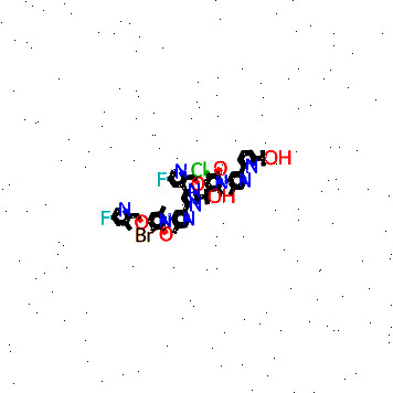 Cc1cnc(-c2cccc(C(C)(C)O)n2)cc1-n1c(C)cc(OCc2ncc(F)cc2-c2cc(-c3cc(-n4c(C)cc(OCc5ncc(F)cc5C)c(Br)c4=O)c(C)cn3)nc(C(C)(C)O)n2)c(Cl)c1=O